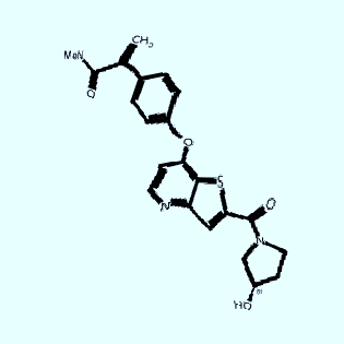 C=C(C(=O)NC)c1ccc(Oc2ccnc3cc(C(=O)N4CC[C@@H](O)C4)sc23)cc1